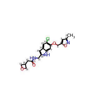 Cc1cc(COc2cc3[nH]c(CNC(=O)CC4COC4)cc3cc2Cl)on1